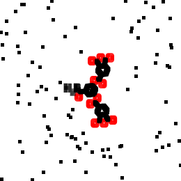 BC(=O)c1cc(OC(=O)c2ccc3c(c2)C(=O)OC3=O)cc(OC(=O)c2ccc3c(c2)C(=O)OC3=O)c1